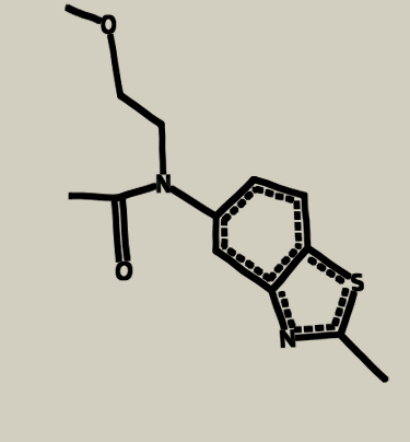 COCCN(C(C)=O)c1ccc2sc(C)nc2c1